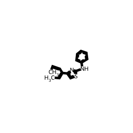 C/C=C\C(=C/C)c1csc(Nc2ccccc2)n1